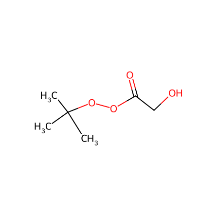 CC(C)(C)OOC(=O)CO